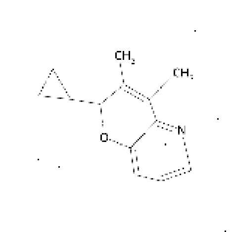 CC1=C(C)C(C2CC2)Oc2cccnc21